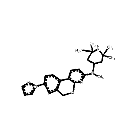 CN(c1ccc2c(n1)OCc1cc(-n3cccn3)ccc1-2)C1CC(C)(C)NC(C)(C)C1